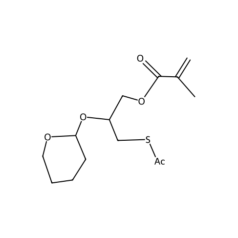 C=C(C)C(=O)OCC(CSC(C)=O)OC1CCCCO1